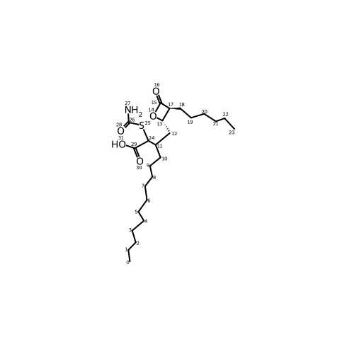 CCCCCCCCCCCC(C[C@@H]1OC(=O)[C@H]1CCCCCC)C(SC(N)=O)C(=O)O